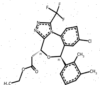 CCOC(=O)C[C@H]1O[C@H](c2cccc(C)c2C)c2cc(Cl)ccc2-n2c1nnc2C(F)(F)F